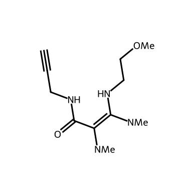 C#CCNC(=O)/C(NC)=C(/NC)NCCOC